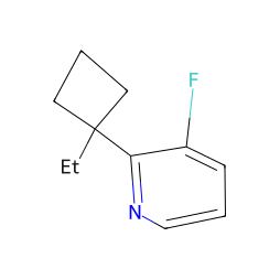 CCC1(c2ncccc2F)CCC1